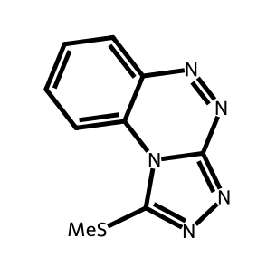 CSc1nnc2nnc3ccccc3n12